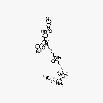 NC(CSC1CC(=O)N(CCCCCC(=O)NCCCCCCn2nc(-c3ccc(NC(=O)N4Cc5ccncc5C4)cc3)cc(-c3cccc4ncccc34)c2=O)C1=O)C(=O)O